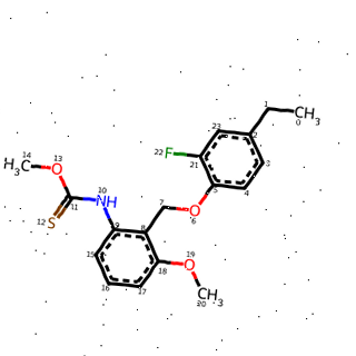 CCc1ccc(OCc2c(NC(=S)OC)cccc2OC)c(F)c1